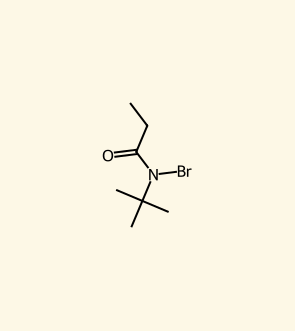 CCC(=O)N(Br)C(C)(C)C